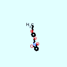 CCCCOc1ccc(OCCCN2C(=O)c3ccccc3C2=O)cc1